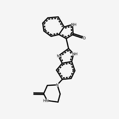 C=C1CN(c2ccc3[nH]c(-c4c5cccccc-5[nH]c4=O)nc3c2)CCN1